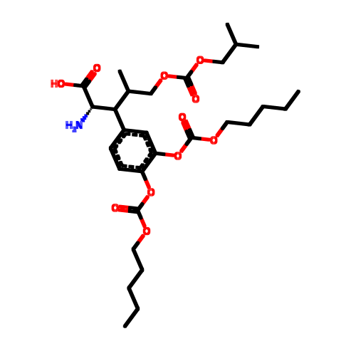 CCCCCOC(=O)Oc1ccc(C(C(C)COC(=O)OCC(C)C)[C@H](N)C(=O)O)cc1OC(=O)OCCCCC